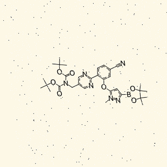 Cn1nc(B2OC(C)(C)C(C)(C)O2)cc1Oc1cc(C#N)ccc1-c1ncc(CN(C(=O)OC(C)(C)C)C(=O)OC(C)(C)C)cn1